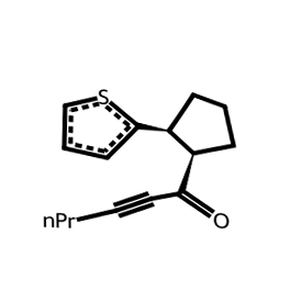 CCCC#CC(=O)[C@@H]1CCC[C@@H]1c1cccs1